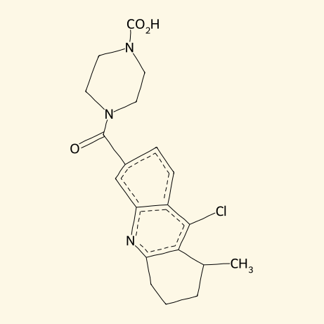 CC1CCCc2nc3cc(C(=O)N4CCN(C(=O)O)CC4)ccc3c(Cl)c21